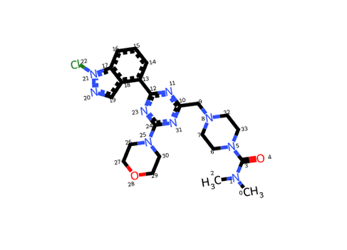 CN(C)C(=O)N1CCN(Cc2nc(-c3cccc4c3cnn4Cl)nc(N3CCOCC3)n2)CC1